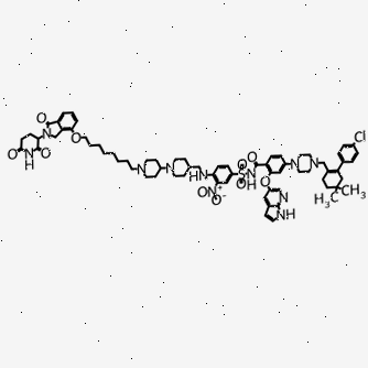 CC1(C)CCC(CN2CCN(c3ccc(C(=O)NS(=O)(=O)c4ccc(NCC5CCN(C6CCN(CCCCCCCCOc7cccc8c7CN(C7CCC(=O)NC7=O)C8=O)CC6)CC5)c([N+](=O)[O-])c4)c(Oc4cnc5[nH]ccc5c4)c3)CC2)=C(c2ccc(Cl)cc2)C1